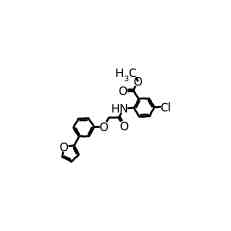 COC(=O)c1cc(Cl)ccc1NC(=O)COc1cccc(-c2ccco2)c1